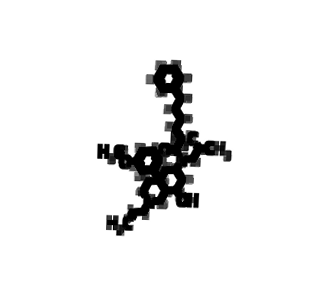 C=CCN1CCC2(c3cccc(OC)c3)CC(N(CC(C)C)C(=O)CCCCCc3ccccc3)CC(O)C2C1